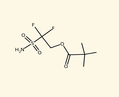 CC(C)(C)C(=O)OCC(F)(F)S(N)(=O)=O